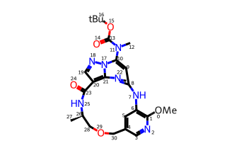 COc1ncc2cc1Nc1cc(N(C)C(=O)OC(C)(C)C)n3ncc(c3n1)C(=O)N[C@H](C)COC2